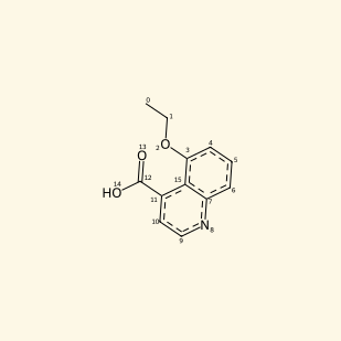 CCOc1cccc2nccc(C(=O)O)c12